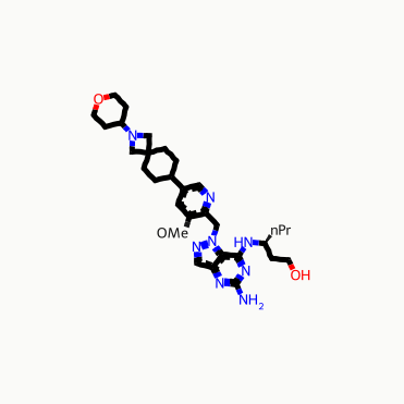 CCC[C@@H](CCO)Nc1nc(N)nc2cnn(Cc3ncc(C4CCC5(CC4)CN(C4CCOCC4)C5)cc3OC)c12